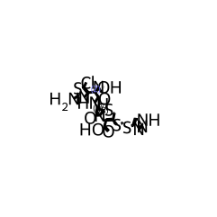 Nc1nc(/C(=N/O)C(=O)N[C@@H]2C(=O)N3C(C(=O)O)=C(SCSc4c[nH]nn4)CS[C@H]23)c(Cl)s1